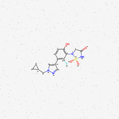 O=C1CN(c2c(O)ccc(-c3cnn(CC4CC4)c3)c2F)S(=O)(=O)N1